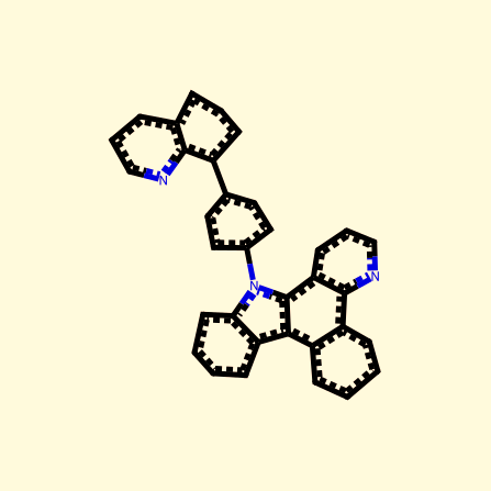 c1cnc2c(-c3ccc(-n4c5ccccc5c5c6ccccc6c6ncccc6c54)cc3)cccc2c1